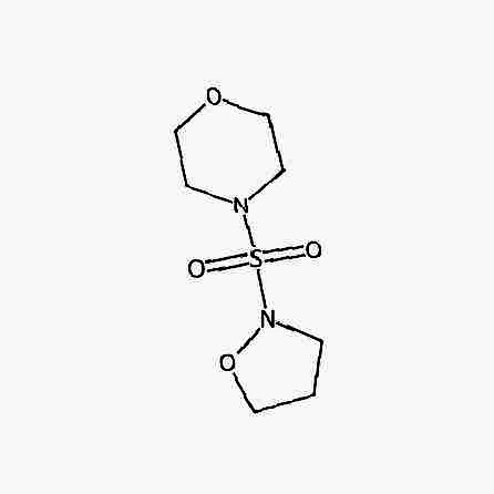 O=S(=O)(N1CCOCC1)N1CCCO1